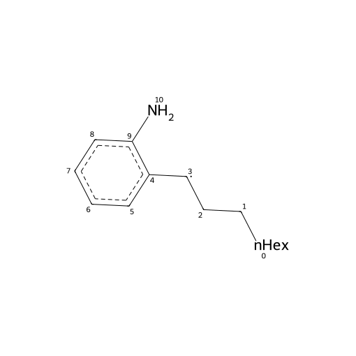 CCCCCCCC[CH]c1ccccc1N